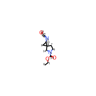 CCOC(=O)N1CCC2(CC2N=C=O)C1